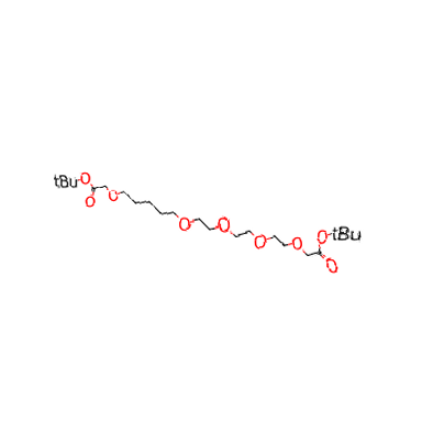 CC(C)(C)OC(=O)COCCCCCOCCOCCOCCOCC(=O)OC(C)(C)C